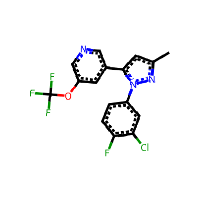 Cc1cc(-c2cncc(OC(F)(F)F)c2)n(-c2ccc(F)c(Cl)c2)n1